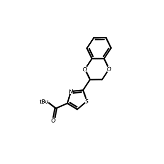 CC(C)(C)C(=O)c1csc(C2COc3ccccc3O2)n1